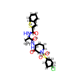 CC(C)CC(NC(=O)c1cc2ccccc2s1)C(=O)N[C@@H]1CCCN(S(=O)(=O)c2ccc(Cl)cc2)CC1=O